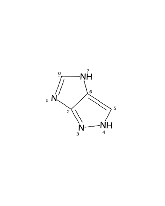 [c]1nc2n[nH]cc2[nH]1